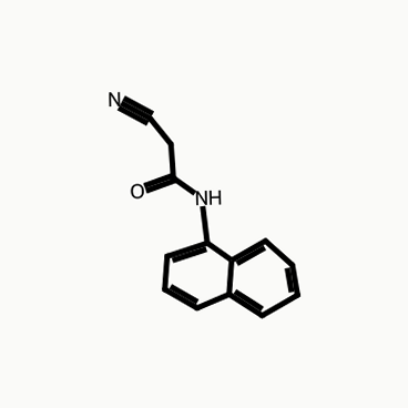 N#CCC(=O)Nc1cccc2ccccc12